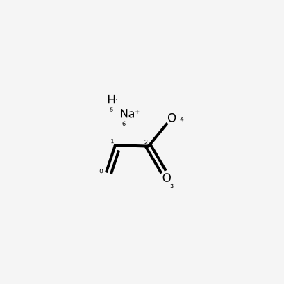 C=CC(=O)[O-].[H].[Na+]